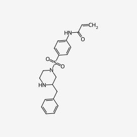 C=CC(=O)Nc1ccc(S(=O)(=O)N2CCNC(Cc3ccccc3)C2)cc1